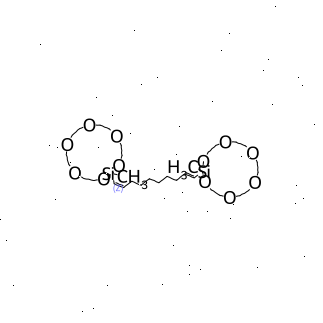 C[Si]1(C=CCCCCCC/C=C\[Si]2(C)OCCOCCOCCOCCOCCO2)OCCOCCOCCOCCOCCO1